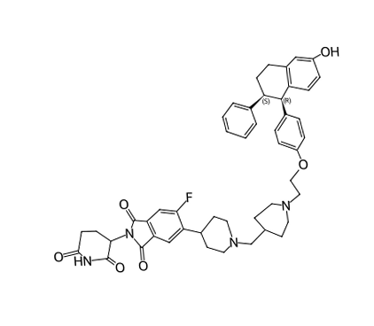 O=C1CCC(N2C(=O)c3cc(F)c(C4CCN(CC5CCN(CCOc6ccc([C@@H]7c8ccc(O)cc8CC[C@@H]7c7ccccc7)cc6)CC5)CC4)cc3C2=O)C(=O)N1